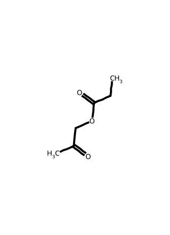 CCC(=O)OCC(C)=O